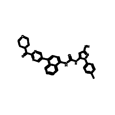 Cc1ccc(-n2nc(C(C)(C)C)cc2NC(=O)Nc2ccc(-c3cnc(C(=O)N4CCOCC4)nc3)c3ccccc23)cc1